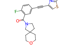 Cc1nc(C#Cc2ccc(F)c(C(=O)N3CCC4(CCOCC4)C3)c2)cs1